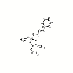 CCCC[N+](CC)(CCC)CCOCc1ccccc1